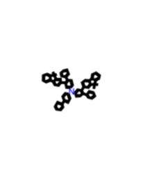 CC1(C)c2ccccc2-c2ccc(-c3cc(N(c4ccc(-c5ccccc5)cc4)c4ccc(-c5ccccc5)c(-c5ccc6c(c5)C(C)(C)c5ccccc5-6)c4)ccc3-c3ccccc3)cc21